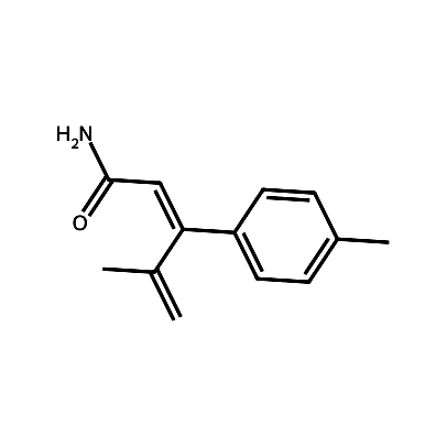 C=C(C)/C(=C\C(N)=O)c1ccc(C)cc1